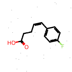 O=C(O)CC/C=C\c1ccc(F)cc1